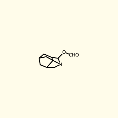 O=COC1C2CC3CC(C2)CN1C3